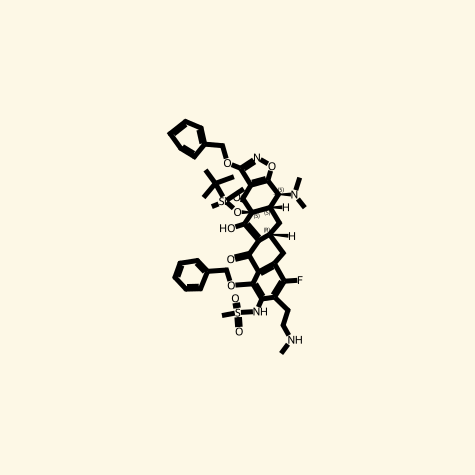 CNCCc1c(F)c2c(c(OCc3ccccc3)c1NS(C)(=O)=O)C(=O)C1=C(O)[C@]3(O[Si](C)(C)C(C)(C)C)C(=O)c4c(OCc5ccccc5)noc4[C@@H](N(C)C)[C@@H]3C[C@@H]1C2